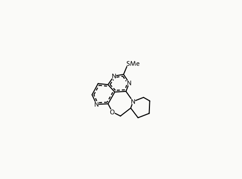 CSc1nc2c3c(nccc3n1)OCC1CCCCN21